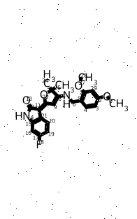 COc1ccc(CNC2=CC(=C3C(=O)Nc4cc(F)ccc43)OC2(C)C)c(OC)c1